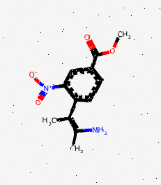 COC(=O)c1ccc(C(C)=C(C)N)c([N+](=O)[O-])c1